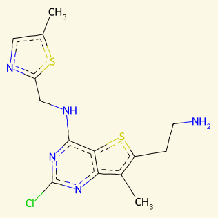 Cc1cnc(CNc2nc(Cl)nc3c(C)c(CCN)sc23)s1